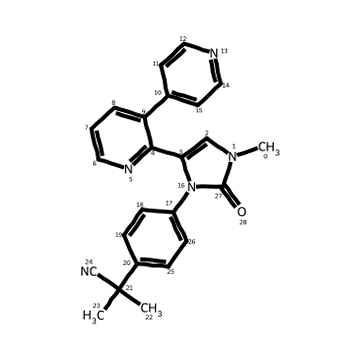 Cn1cc(-c2ncccc2-c2ccncc2)n(-c2ccc(C(C)(C)C#N)cc2)c1=O